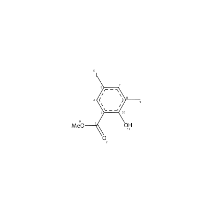 COC(=O)c1cc(I)cc(C)c1O